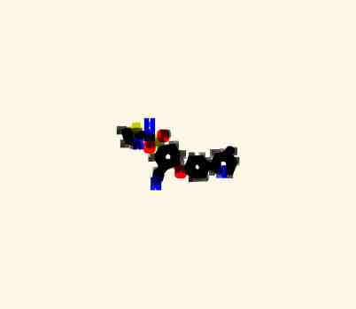 Cc1ccnc(-c2ccc(Oc3ccc(S(=O)(=O)Nc4nccs4)cc3C#N)cc2)c1